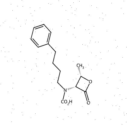 C[C@@H]1OC(=O)[C@@H]1N(CCCCc1ccccc1)C(=O)O